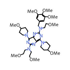 COCCN(CCOC)c1nc(N2CCC(OC)CC2)c2nc(N(CCOC)Cc3cc(OC)c(OC)c(OC)c3)nc(N3CCC(OC)CC3)c2n1